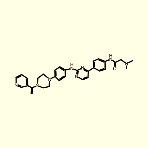 C=C(c1cccnc1)N1CCN(c2ccc(Nc3nccc(-c4ccc(NC(=O)CN(C)C)cc4)n3)cc2)CC1